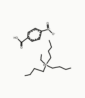 CCCC[PH](CC)(CCCC)CCCC.O=C(O)c1ccc([N+](=O)[O-])cc1